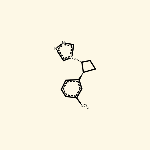 O=[N+]([O-])c1cccc([C@@H]2CC[C@H]2n2cnnc2)c1